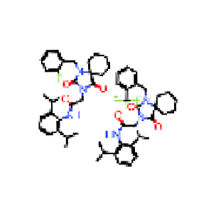 CC(C)c1cccc(C(C)C)c1NC(=O)CN1C(=O)N(Cc2ccccc2C(F)(F)F)C2(CCCCC2)C1=O.CC(C)c1cccc(C(C)C)c1NC(=O)CN1C(=O)N(Cc2ccccc2F)C2(CCCCC2)C1=O